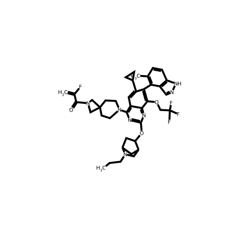 C=C(F)C(=O)N1CC2(CCN(c3nc(OC4CC5CC4CN5CCC)nc4c(OCC(F)(F)F)c(-c5c(C)ccc6[nH]ncc56)c(C5CC5)cc34)CC2)C1